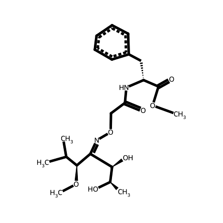 COC(=O)[C@@H](Cc1ccccc1)NC(=O)CO/N=C(/[C@@H](OC)C(C)C)[C@@H](O)[C@@H](C)O